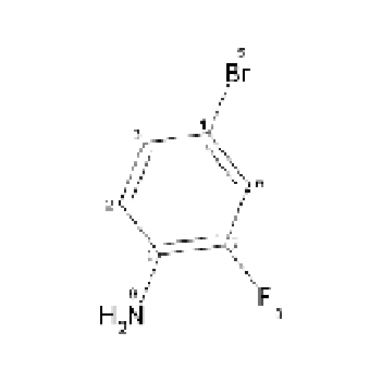 Nc1ccc(Br)[c]c1F